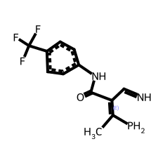 C/C(P)=C(/C=N)C(=O)Nc1ccc(C(F)(F)F)cc1